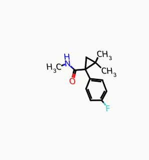 CNC(=O)C1(c2ccc(F)cc2)CC1(C)C